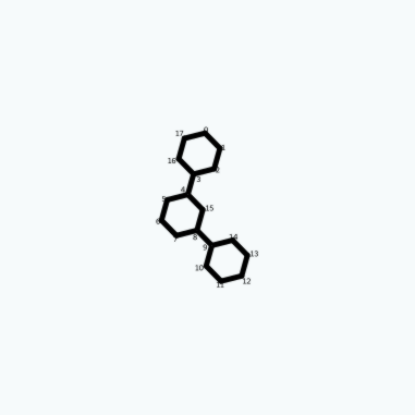 C1CCC(C2CCCC(C3CCCCC3)C2)CC1